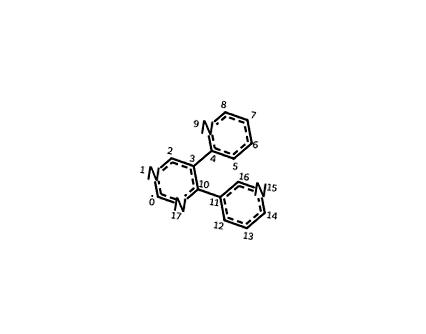 [c]1ncc(-c2ccccn2)c(-c2cccnc2)n1